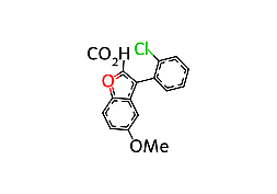 COc1ccc2oc(C(=O)O)c(-c3ccccc3Cl)c2c1